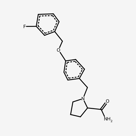 NC(=O)C1CCCN1Cc1ccc(OCc2cccc(F)c2)cc1